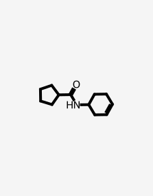 O=C(NC1CC=CCC1)C1CCCC1